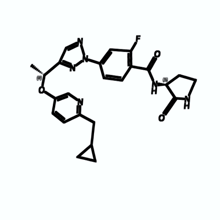 C[C@@H](Oc1ccc(CC2CC2)nc1)c1cnn(-c2ccc(C(=O)N[C@H]3CCNC3=O)c(F)c2)n1